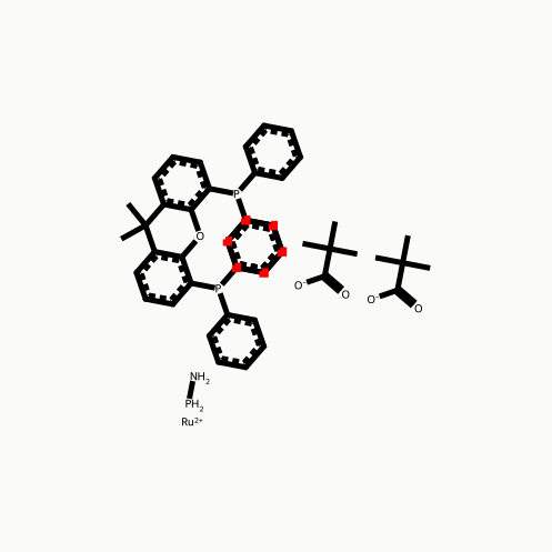 CC(C)(C)C(=O)[O-].CC(C)(C)C(=O)[O-].CC1(C)c2cccc(P(c3ccccc3)c3ccccc3)c2Oc2c(P(c3ccccc3)c3ccccc3)cccc21.NP.[Ru+2]